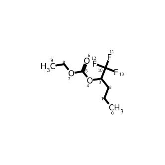 CCCC(OC(=O)OCC)C(F)(F)F